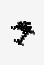 COc1ccc([C@@]23Oc4cc(OCCCCN(C)C)cc(OC)c4[C@]2(O)[C@H](O)[C@H](C(=O)O)[C@H]3c2ccccc2)cc1